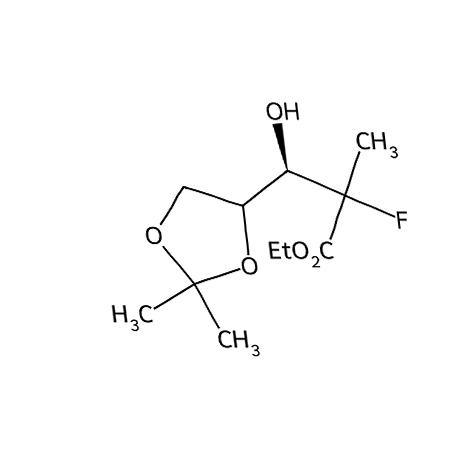 CCOC(=O)C(C)(F)[C@H](O)C1COC(C)(C)O1